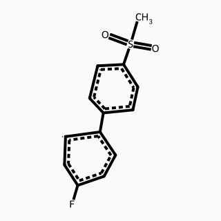 CS(=O)(=O)c1ccc(-c2[c]cc(F)cc2)cc1